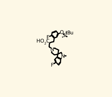 CN1CC2(CCN(CC(Cc3cc(O[Si](C)(C)C(C)(C)C)ccc3F)C(=O)O)CC2)c2cc(F)ccc21